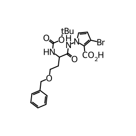 CC(C)(C)OC(=O)NC(CCOCc1ccccc1)C(=O)Nn1ccc(Br)c1C(=O)O